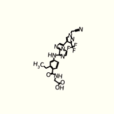 CCc1cc(Nc2nccn3c(-c4cn(CC#N)nc4C(F)(F)F)cnc23)ccc1C(=O)NCC(=O)O